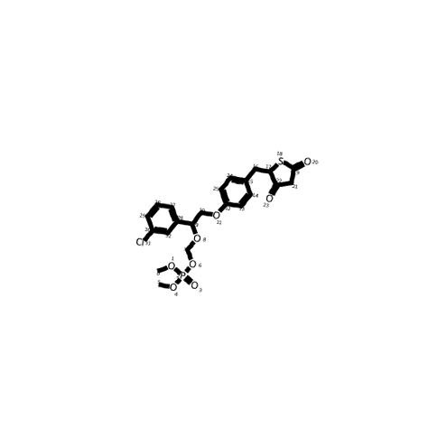 COP(=O)(OC)OCOC(COc1ccc(CC2SC(=O)CC2=O)cc1)c1cccc(Cl)c1